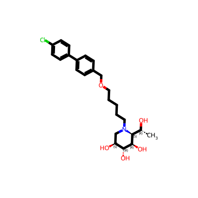 C[C@@H](O)[C@H]1[C@@H](O)[C@H](O)[C@@H](O)CN1CCCCCOCc1ccc(-c2ccc(Cl)cc2)cc1